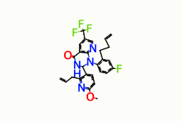 C=CCCc1cc(F)ccc1N1c2ncc(C(F)(F)F)cc2C(=O)NC1c1ccc(OC)nc1CC=C